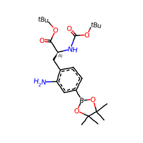 CC(C)(C)OC(=O)N[C@@H](Cc1ccc(B2OC(C)(C)C(C)(C)O2)cc1N)C(=O)OC(C)(C)C